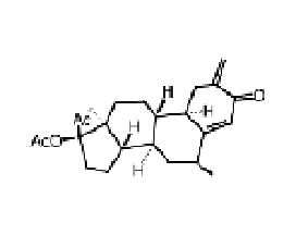 C=C1C[C@H]2C(=CC1=O)[C@@H](C)C[C@@H]1[C@@H]2CC[C@@]2(C)[C@H]1CC[C@]2(OC(C)=O)C(C)=O